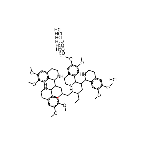 CCC(CCC(CC)CC(C1NCCc2cc(OC)c(OC)cc21)C1NCCc2cc(OC)c(OC)cc21)CC(C1NCCc2cc(OC)c(OC)cc21)C1NCCc2cc(OC)c(OC)cc21.Cl.Cl.Cl.Cl.O.O.O.O